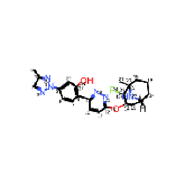 Cc1cnn(-c2ccc(-c3ccc(O[C@@H]4C[C@H]5CCC[C@](C)(N5)[C@@H]4F)nn3)c(O)c2)n1